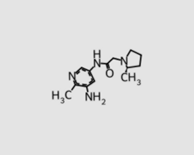 Cc1ncc(NC(=O)CN2CCC[C@H]2C)cc1N